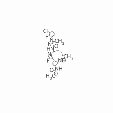 COC(=O)Nc1ccc2c(c1)NC(=O)C(C)CCC[C@H](NC(=O)c1ncn(-c3cccc(Cl)c3F)c1C)c1cc-2c(F)cn1